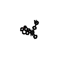 C1=Cc2ccc(-c3nc(-c4ccccc4)cc(-c4ccc(-c5cccnc5)cc4)n3)cc2C2(c3ccccc31)c1ccccc1-c1ccccc12